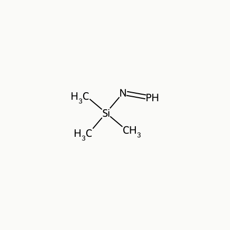 C[Si](C)(C)N=P